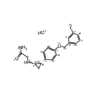 Cl.NC(=O)CN[C@@H]1C[C@H]1c1ccc(OCc2cccc(F)c2)cc1